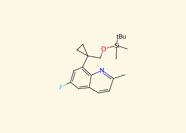 Cc1ccc2cc(F)cc(C3(CO[Si](C)(C)C(C)(C)C)CC3)c2n1